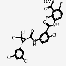 COC(=O)c1c(F)ccc(NC(=O)c2cc(NC(=O)[C@H]3[C@H](c4cc(Cl)cc(Cl)c4)C3(Cl)Cl)ccc2Cl)c1F